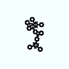 C1=CCC2Oc3c(cccc3N(c3ccc4c(c3)c3ccccc3n4-c3ccc(-c4nc(-c5ccccc5)nc(-c5ccccc5)n4)cc3)c3nc(-c4ccccc4)nc(-c4ccccc4)n3)C2=C1